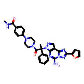 CNC(=O)c1ccc(N2CCN(C(=O)C(C)(c3ccccc3)n3ncc4c3nc(N)n3nc(-c5ccco5)nc43)CC2)cc1